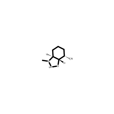 CN1PO[C@H]2[C@@H](C#N)CCC[C@@H]21